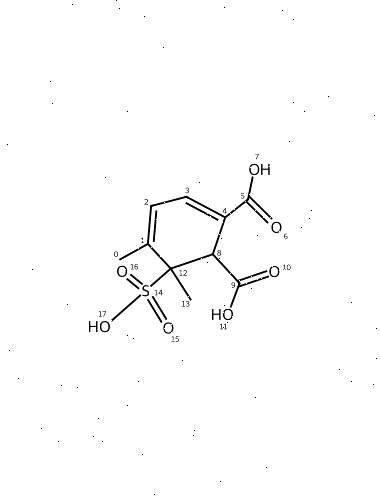 CC1=CC=C(C(=O)O)C(C(=O)O)C1(C)S(=O)(=O)O